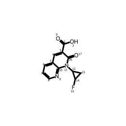 O=C(O)c1cc2cccnc2n(C2CC2F)c1=O